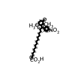 CC1=C(C(CCCCCCCCCCCCCCOC(=O)O)c2ccc([N+](=O)[O-])cc2)C(C)(C)CCC1=O